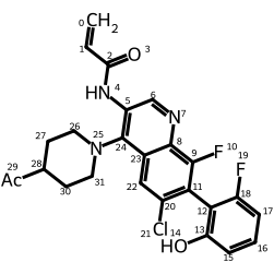 C=CC(=O)Nc1cnc2c(F)c(-c3c(O)cccc3F)c(Cl)cc2c1N1CCC(C(C)=O)CC1